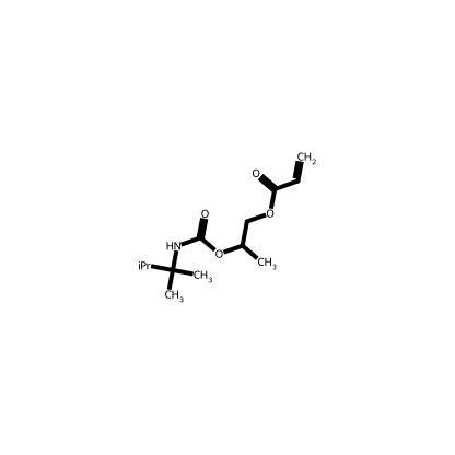 C=CC(=O)OCC(C)OC(=O)NC(C)(C)C(C)C